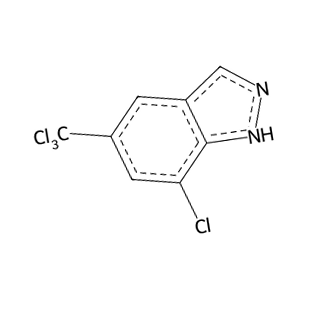 Clc1cc(C(Cl)(Cl)Cl)cc2cn[nH]c12